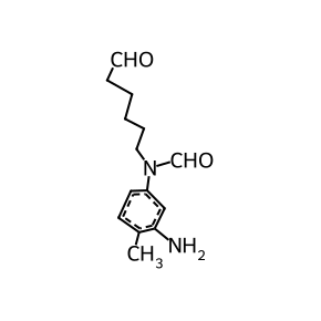 Cc1ccc(N(C=O)CCCCCC=O)cc1N